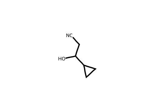 N#CCC(O)C1CC1